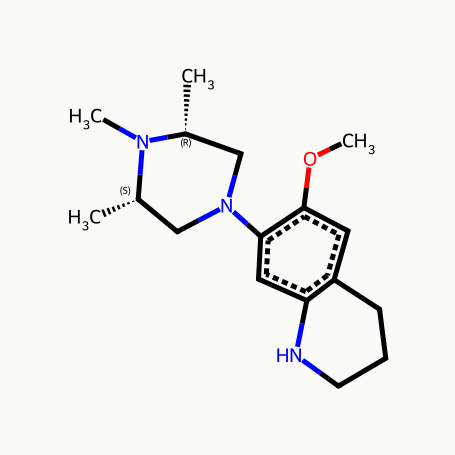 COc1cc2c(cc1N1C[C@@H](C)N(C)[C@@H](C)C1)NCCC2